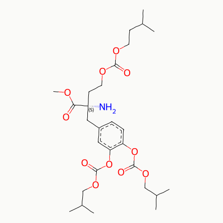 COC(=O)[C@@](N)(CCOC(=O)OCCC(C)C)Cc1ccc(OC(=O)OCC(C)C)c(OC(=O)OCC(C)C)c1